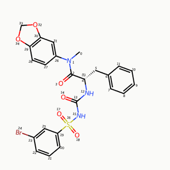 CN(C(=O)[C@H](Cc1ccccc1)NC(=O)NS(=O)(=O)c1cccc(Br)c1)c1ccc2c(c1)OCO2